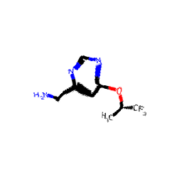 C[C@@H](Oc1cc(CN)ncn1)C(F)(F)F